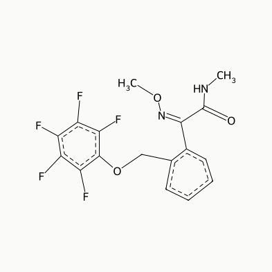 CNC(=O)C(=NOC)c1ccccc1COc1c(F)c(F)c(F)c(F)c1F